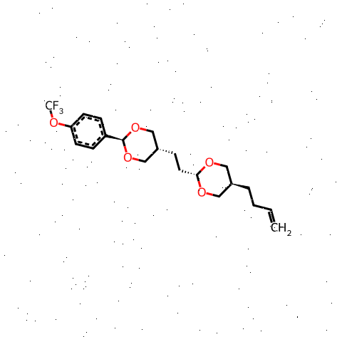 C=CCC[C@H]1CO[C@H](CC[C@H]2CO[C@H](c3ccc(OC(F)(F)F)cc3)OC2)OC1